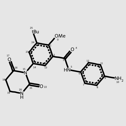 COc1c(C(=O)Nc2ccc(N)cc2)cc(N2C(=O)CCNC2=O)cc1C(C)(C)C